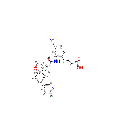 N#Cc1ccc(CCCC(=O)O)c(NC(=O)[C@@H]2C[C@]23CCOc2ccc(-c4ccc(F)nc4)cc23)c1